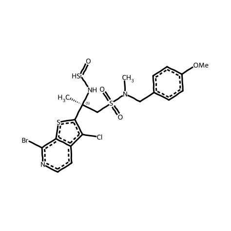 COc1ccc(CN(C)S(=O)(=O)C[C@](C)(N[SiH]=O)c2sc3c(Br)nccc3c2Cl)cc1